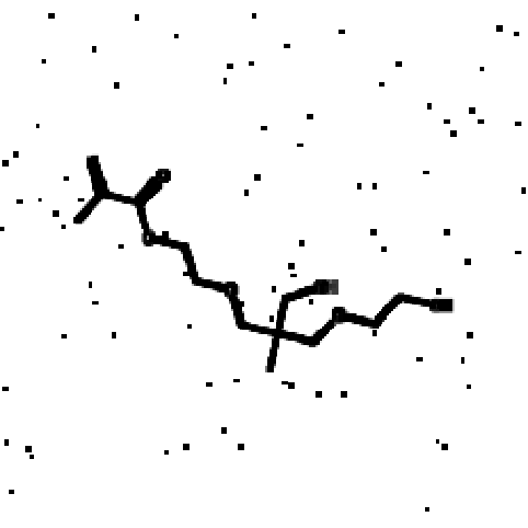 C=C(C)C(=O)OCCOCC(C)(CO)COCCO